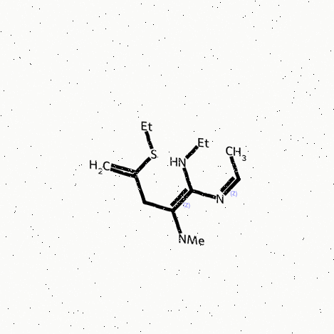 C=C(C/C(NC)=C(/N=C\C)NCC)SCC